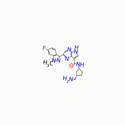 Cn1nc(-c2cnc3[nH]cc(C(=O)N[C@H]4CC[C@@H](CN)C4)c3n2)c2ccc(F)cc21